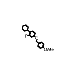 COc1ccc(COc2ccc(C3C=CCCC3)c(F)c2)cc1